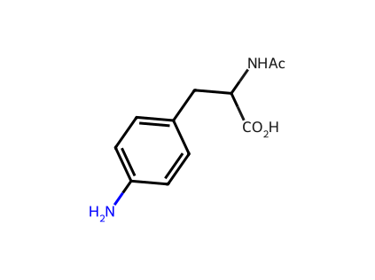 CC(=O)NC(Cc1ccc(N)cc1)C(=O)O